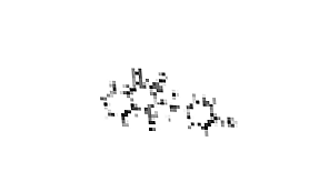 CC(C)(c1ccc(Br)cn1)n1c(=O)[nH]c2ccccc2c1=O